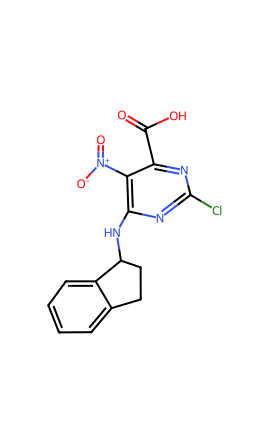 O=C(O)c1nc(Cl)nc(NC2CCc3ccccc32)c1[N+](=O)[O-]